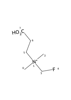 C[N+](C)(CF)CCC(=O)O